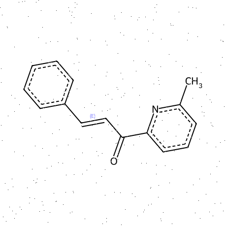 Cc1cccc(C(=O)/C=C/c2ccccc2)n1